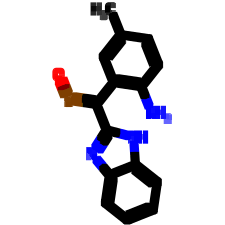 Cc1ccc(N)c(C(=S=O)c2nc3ccccc3[nH]2)c1